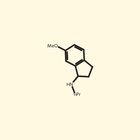 CCCNC1CCc2ccc(OC)cc21